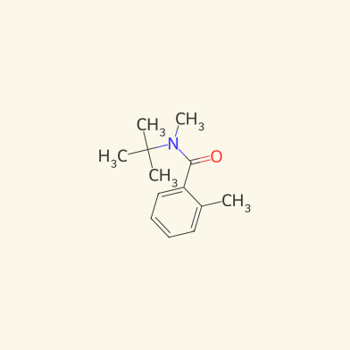 Cc1ccccc1C(=O)N(C)C(C)(C)C